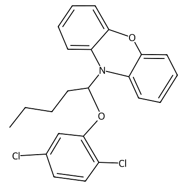 CCCCC(Oc1cc(Cl)ccc1Cl)N1c2ccccc2Oc2ccccc21